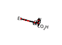 CCC=CCC=CCC=CCC=CCC=CCC=CCC(=O)OCC(C)(C)[C@@H](OC(=O)c1cccnc1)C(=O)NCCC(=O)O